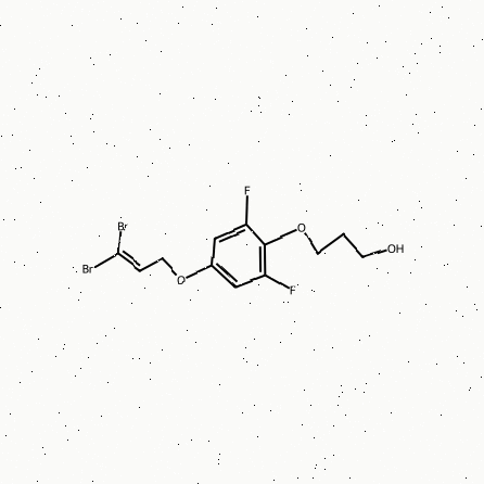 OCCCOc1c(F)cc(OCC=C(Br)Br)cc1F